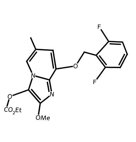 CCOC(=O)Oc1c(OC)nc2c(OCc3c(F)cccc3F)cc(C)cn12